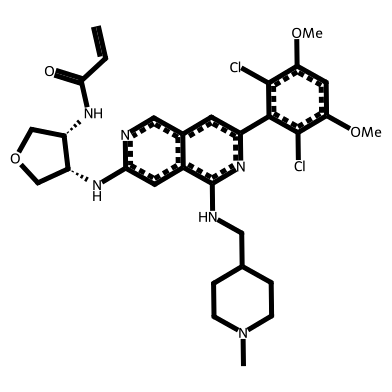 C=CC(=O)N[C@H]1COC[C@H]1Nc1cc2c(NCC3CCN(C)CC3)nc(-c3c(Cl)c(OC)cc(OC)c3Cl)cc2cn1